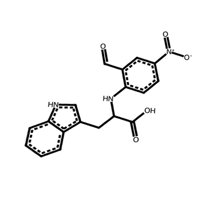 O=Cc1cc([N+](=O)[O-])ccc1NC(Cc1c[nH]c2ccccc12)C(=O)O